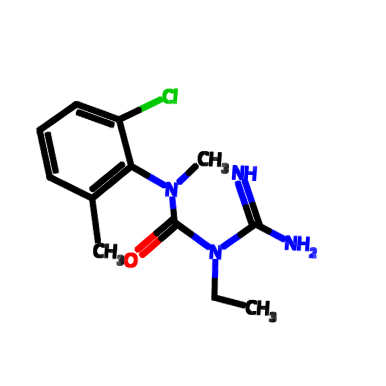 CCN(C(=N)N)C(=O)N(C)c1c(C)cccc1Cl